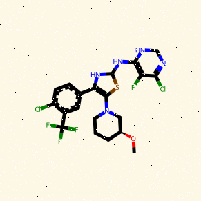 CO[C@H]1CCCN(C2=C(c3ccc(Cl)c(C(F)(F)F)c3)NC(NC3=C(F)C(Cl)=NCN3)S2)C1